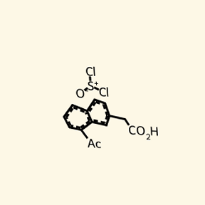 CC(=O)c1cccc2ccc(CC(=O)O)cc12.[O-][S+](Cl)Cl